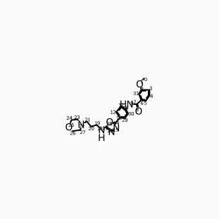 COc1cccc(C(=O)Nc2ccc(-c3nnc(NCCCN4CCOCC4)o3)cc2)c1